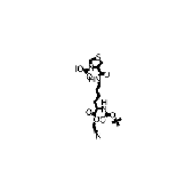 CC(C)(C)OC(=O)NC(CCCCNC(=O)C1CSCN1C(=O)O)C(=O)OCC#N